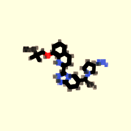 COC(C)(C)COc1cccc2ccc(-c3nnc4ccc([C@@H](N5CC[C@H](N)C5)C(F)(F)F)cn34)nc12